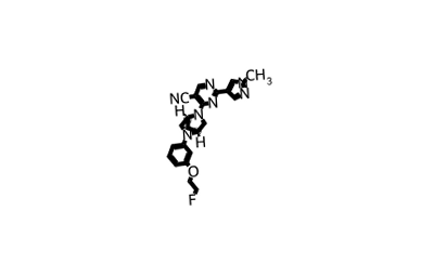 Cn1cc(-c2ncc(C#N)c(N3C[C@H]4C[C@H]3CN4c3cccc(OCCF)c3)n2)cn1